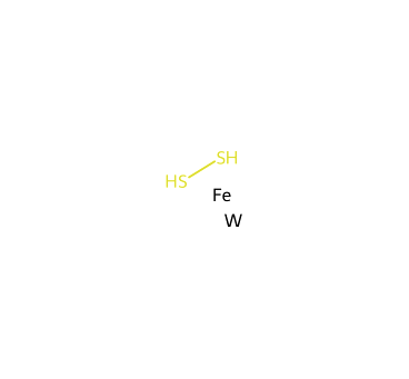 SS.[Fe].[W]